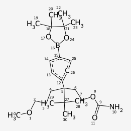 COCCCC(CCOC(N)=O)(c1ccc(B2OC(C)(C)C(C)(C)O2)cc1)C(C)(C)C